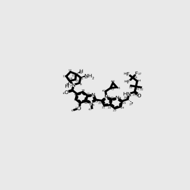 COc1cc(C(=O)N2C[C@H](N)[C@@H]3CC[C@H]2C3)cc2nc(-c3cc4ccc([C@@H](C)NC(=O)C(C)(C)CC(F)(F)F)nc4n3CC3CC3)n(C)c12